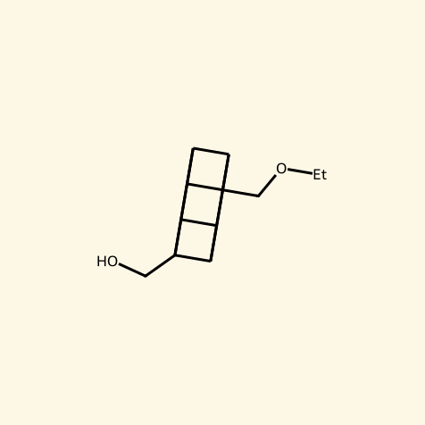 CCOCC12C3C4C1C1C2C3C41CO